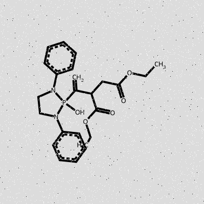 C=C(C(CC(=O)OCC)C(=O)OCC)[P]1(O)N(c2ccccc2)CCN1c1ccccc1